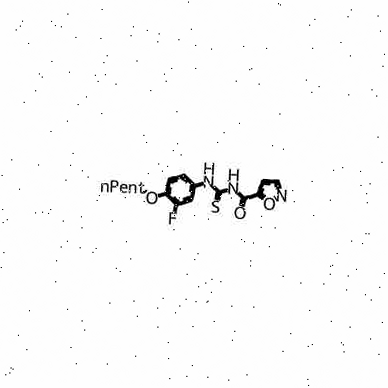 CCCCCOc1ccc(NC(=S)NC(=O)c2ccno2)cc1F